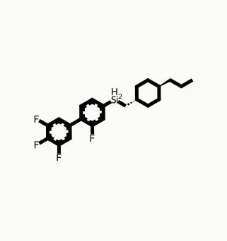 CCC[C@H]1CC[C@H](C[SiH2]c2ccc(-c3cc(F)c(F)c(F)c3)c(F)c2)CC1